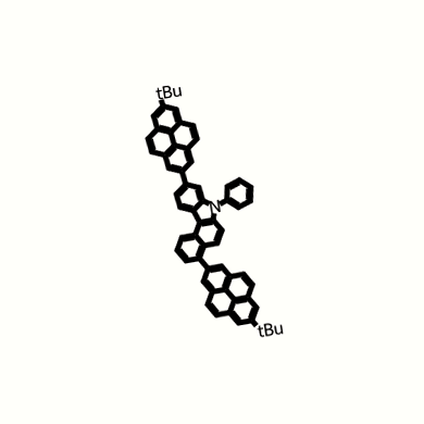 CC(C)(C)c1cc2ccc3cc(-c4ccc5c6c7cccc(-c8cc9ccc%10cc(C(C)(C)C)cc%11ccc(c8)c9c%10%11)c7ccc6n(-c6ccccc6)c5c4)cc4ccc(c1)c2c34